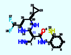 N=C/C(C(=O)Nc1ccccc1S)=C1\NC(C(F)F)=CC(=C2CC2)N1